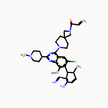 C=CC(=O)N1CC2(CCN(c3nc(C4CCN(C)CC4)nc4c(OC)c(C5C(C=N)=C(N)C=CC5C)c(Cl)cc34)CC2)C1